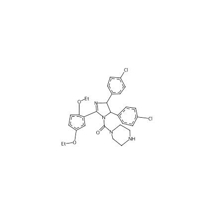 CCOc1ccc(OCC)c(C2=NC(c3ccc(Cl)cc3)C(c3ccc(Cl)cc3)N2C(=O)N2CCNCC2)c1